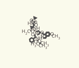 C=C[C@@H]1C[C@]1(NC(=O)[C@@H]1C[C@@H](Oc2nccc3cc(OC)ccc23)CN1C(=O)C(NC(=O)OC(C)(C)C)C1CCCCC1)C(=O)NS(=O)(=O)C1CC1